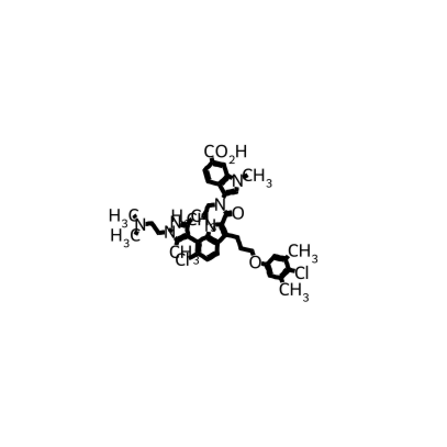 Cc1cc(OCCCc2c3n(c4c(-c5c(C)nn(CCN(C)C)c5C)c(Cl)ccc24)C(C)CN(c2cn(C)c4cc(C(=O)O)ccc24)C3=O)cc(C)c1Cl